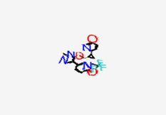 COc1ccc([C@H]2C[C@@H]2COc2nc(C)ncc2-c2ccc(=O)n(CC(F)(F)F)c2)nc1